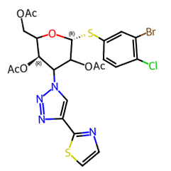 CC(=O)OCC1O[C@H](Sc2ccc(Cl)c(Br)c2)C(OC(C)=O)C(n2cc(-c3nccs3)nn2)[C@H]1OC(C)=O